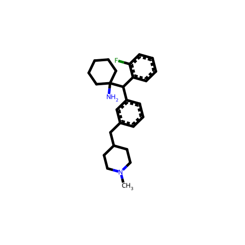 CN1CCC(Cc2cccc(C(c3ccccc3F)C3(N)CCCCC3)c2)CC1